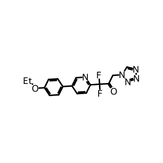 CCOc1ccc(-c2ccc(C(F)(F)C(=O)Cn3cnnn3)nc2)cc1